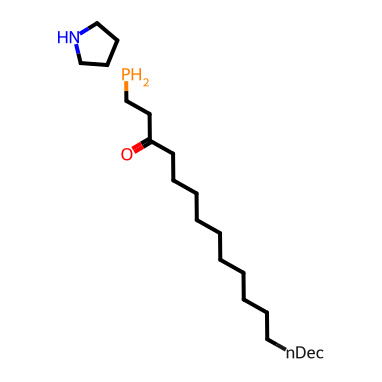 C1CCNC1.CCCCCCCCCCCCCCCCCCCCC(=O)CCP